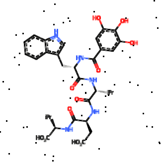 CC(C)[C@@H](NC(=O)[C@H](CC(=O)O)NC(=O)[C@H](NC(=O)[C@H](Cc1c[nH]c2ccccc12)NC(=O)c1cc(O)c(O)c(O)c1)C(C)C)C(=O)O